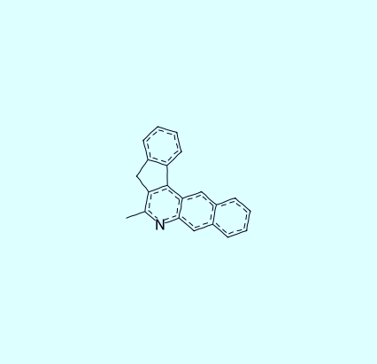 Cc1nc2cc3ccccc3cc2c2c1Cc1ccccc1-2